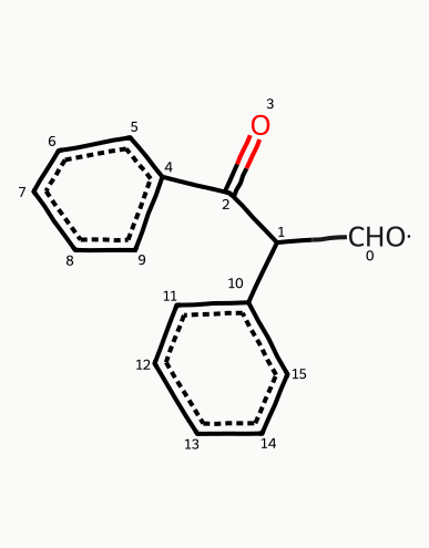 O=[C]C(C(=O)c1ccccc1)c1ccccc1